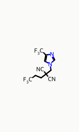 N#CC(C#N)(CCC(F)(F)F)Cn1cnc(C(F)(F)F)c1